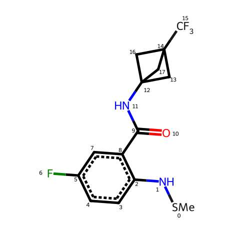 CSNc1ccc(F)cc1C(=O)NC12CC(C(F)(F)F)(C1)C2